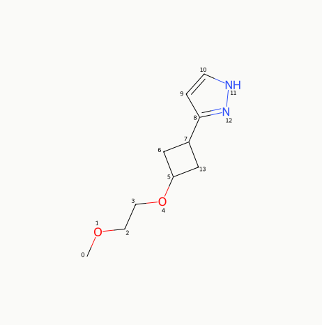 COCCOC1CC(c2cc[nH]n2)C1